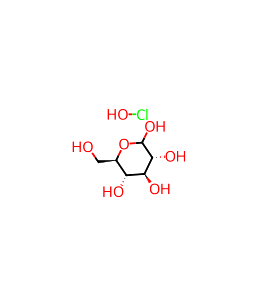 OC[C@H]1OC(O)[C@H](O)[C@@H](O)[C@@H]1O.OCl